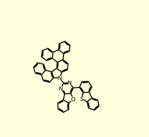 c1ccc2c(c1)ccc1c2c2c3c4ccccc4c4ccccc4c3ccc2n1-c1nc(-c2cccc3c2sc2ccccc23)c2oc3ccccc3c2n1